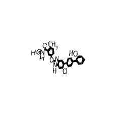 Cc1ccc(Oc2nc3cc(-c4ccc(-c5ccccc5O)cc4)c(Cl)cc3[nH]2)cc1C(=O)NO